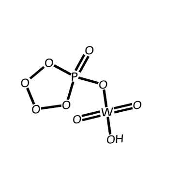 O=P1([O][W](=[O])(=[O])[OH])OOOO1